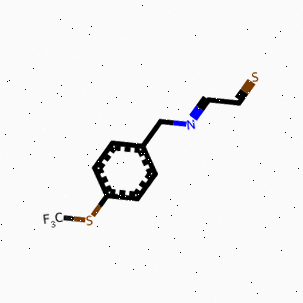 FC(F)(F)Sc1ccc(CN=CC=S)cc1